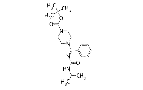 CC(C)NC(=O)/N=C(\c1ccccc1)N1CCN(C(=O)OC(C)(C)C)CC1